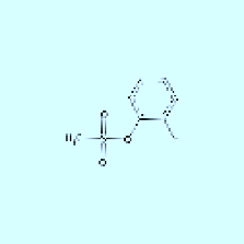 CS(=O)(=O)Oc1[c]cccc1F